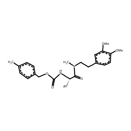 COc1ccc(CCN(C)C(=O)[C@@H](NC(=O)OCc2ccc(C)cc2)C(C)C)cc1OC